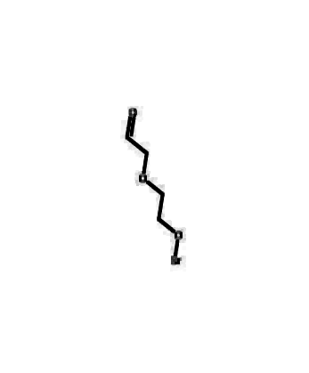 O=CCOCCOBr